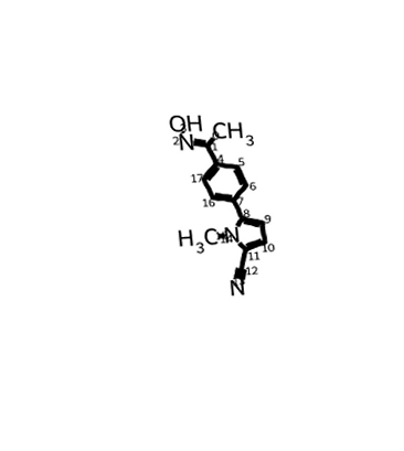 CC(=NO)c1ccc(-c2ccc(C#N)n2C)cc1